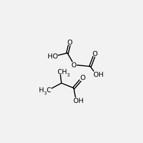 CC(C)C(=O)O.O=C(O)OC(=O)O